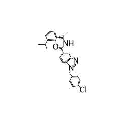 CC(C)c1cccc([C@H](C)NC(=O)c2ccc3c(c2)ncn3Cc2ccc(Cl)cc2)c1